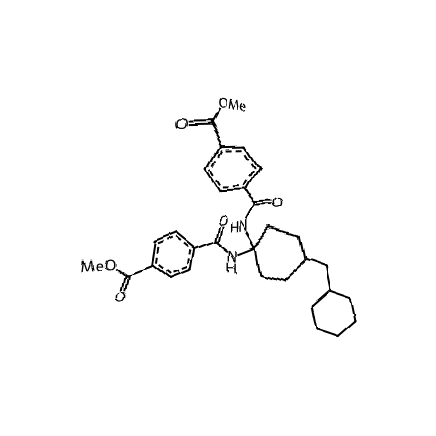 COC(=O)c1ccc(C(=O)NC2(NC(=O)c3ccc(C(=O)OC)cc3)CCC(CC3CCCCC3)CC2)cc1